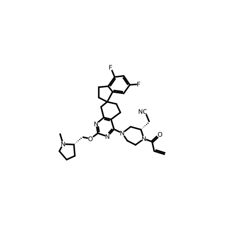 C=CC(=O)N1CCN(c2nc(OC[C@@H]3CCCN3C)nc3c2CCC2(CCc4c(F)cc(F)cc42)C3)C[C@@H]1CC#N